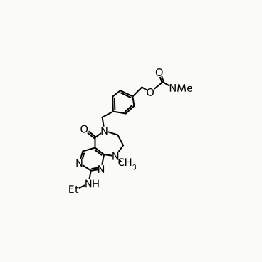 CCNc1ncc2c(n1)N(C)CCN(Cc1ccc(COC(=O)NC)cc1)C2=O